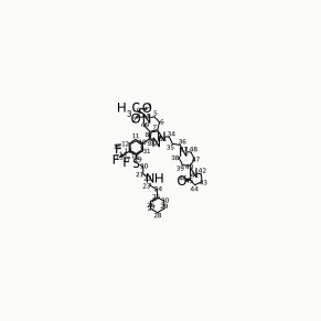 CS(=O)(=O)N1CCc2c(c(-c3ccc(C(F)(F)F)c(SCCNCCC4=CCCCC4)c3)nn2CCCN2CCC(N3CCCC3=O)CC2)C1